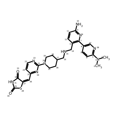 CN(C)c1ccc(-c2nc(N)ccc2CNCC2CCN(c3nccc(C=C4SC(=O)NC4=O)n3)CC2)cn1